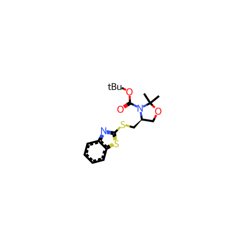 CC(C)(C)OC(=O)N1[C@H](CSc2nc3ccccc3s2)COC1(C)C